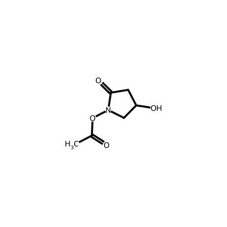 CC(=O)ON1CC(O)CC1=O